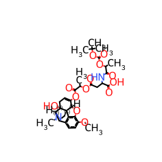 COc1ccc2c3c1O[C@H]1C(OC(=O)C(C)OC(=O)CC(NC(=O)C(C)OC(=O)OC(C)(C)C)C(=O)O)=CC[C@@]4(O)[C@@H](C2)N(C)CC[C@]314